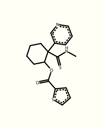 CNC(=S)C1(c2cccnc2)CCCCC1OC(=O)c1cccs1